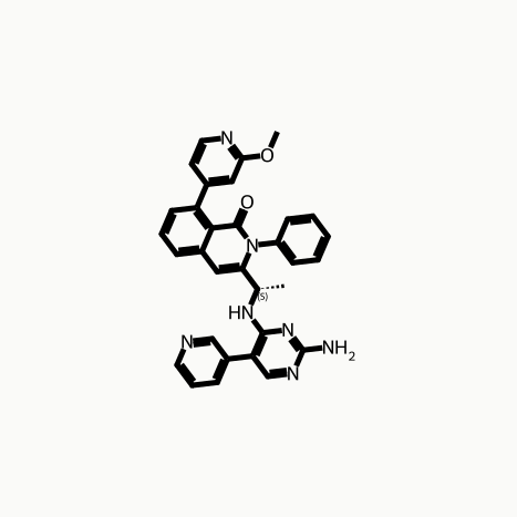 COc1cc(-c2cccc3cc([C@H](C)Nc4nc(N)ncc4-c4cccnc4)n(-c4ccccc4)c(=O)c23)ccn1